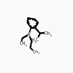 CCCN(CC)c1ccccc1C(C)C